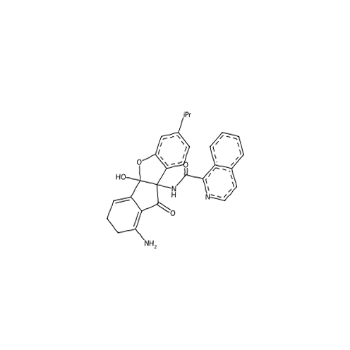 CC(C)c1ccc2c(c1)OC1(O)C3=CCCC(N)=C3C(=O)C21NC(=O)c1nccc2ccccc12